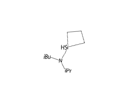 CCC(C)N(C(C)C)[SiH]1CCC1